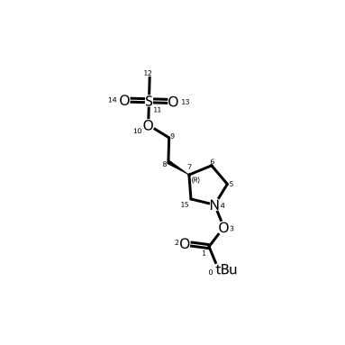 CC(C)(C)C(=O)ON1CC[C@H](CCOS(C)(=O)=O)C1